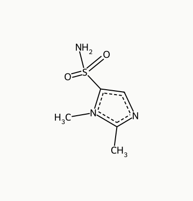 Cc1ncc(S(N)(=O)=O)n1C